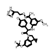 COc1cc(NC(C(=O)N2CC3(CC3)c3ccc(OC(F)(F)F)cc32)c2ccc(Cl)cc2)cc(C(C)=NOCCc2nnn[nH]2)c1